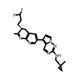 CC1=Nc2ncc(-c3ccn4nc(NCC5(C)CC5)ncc34)cc2C[C@@H]1CCC(F)F